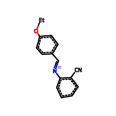 CCOc1ccc(/C=N/c2ccccc2C#N)cc1